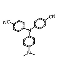 CN(C)c1ccc(N(c2ccc(C#N)cc2)c2ccc(C#N)cc2)cc1